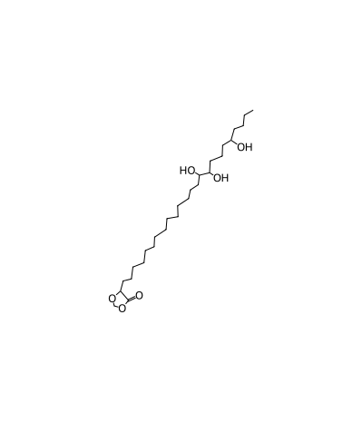 CCCCC(O)CCCC(O)C(O)CCCCCCCCCCCCCCC1OCOC1=O